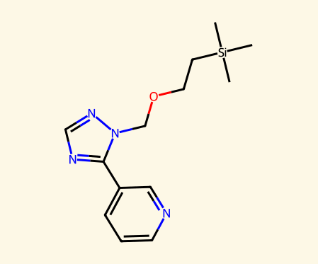 C[Si](C)(C)CCOCn1ncnc1-c1cccnc1